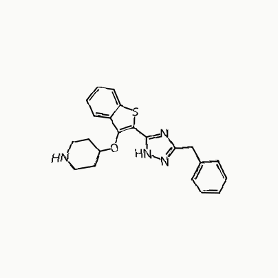 c1ccc(Cc2n[nH]c(-c3sc4ccccc4c3OC3CCNCC3)n2)cc1